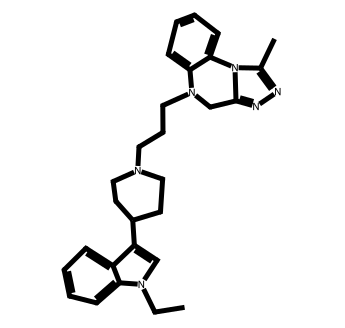 CCn1cc(C2CCN(CCCN3Cc4nnc(C)n4-c4ccccc43)CC2)c2ccccc21